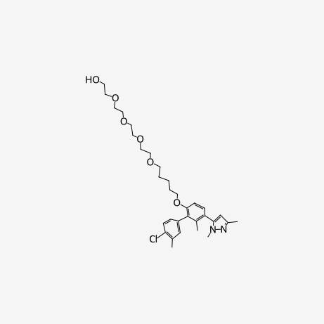 Cc1cc(-c2ccc(OCCCCCOCCOCCOCCOCCO)c(-c3ccc(Cl)c(C)c3)c2C)n(C)n1